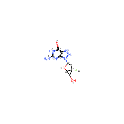 Nc1nc2c(nnn2[C@H]2C[C@@]3(F)C(O)C3O2)c(=O)[nH]1